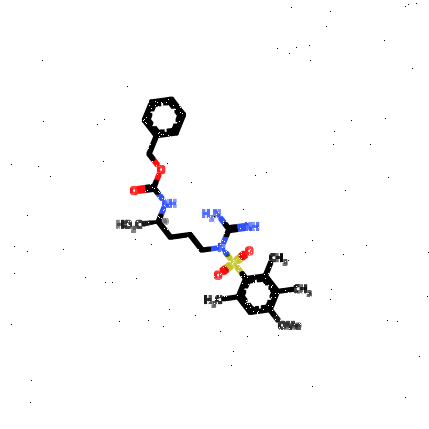 COc1cc(C)c(S(=O)(=O)N(CCC[C@H](NC(=O)OCc2ccccc2)C(=O)O)C(=N)N)c(C)c1C